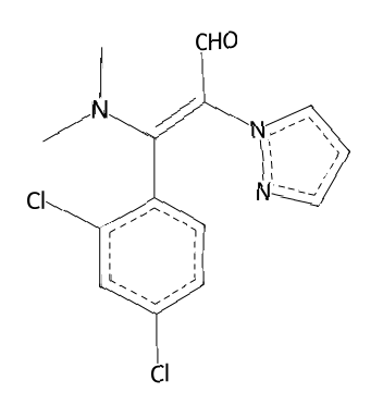 CN(C)C(=C(C=O)n1cccn1)c1ccc(Cl)cc1Cl